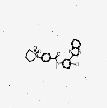 O=C(Nc1ccc(Cl)c(-c2cnc3ccccc3n2)c1)c1ccc(N2CCCCCS2(=O)=O)cc1